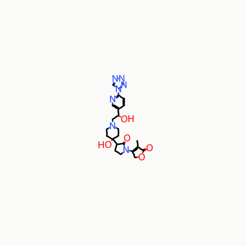 CC1=C(N2CCC(C3(O)CCN(C[C@H](O)c4ccc(-n5cnnn5)nc4)CC3)C2=O)COC1=O